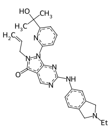 C=CCn1c(=O)c2cnc(Nc3ccc4c(c3)CN(CC)C4)nc2n1-c1cccc(C(C)(C)O)n1